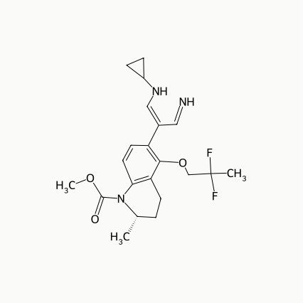 COC(=O)N1c2ccc(/C(C=N)=C/NC3CC3)c(OCC(C)(F)F)c2CC[C@@H]1C